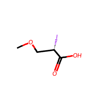 COC[C@H](I)C(=O)O